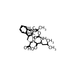 CC(C)C[C@H](NC(=O)OC(C)(C)C)C(=O)N[C@@H](Cc1c[nH]c2ccccc12)C(=O)O